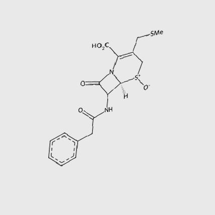 CSCC1=C(C(=O)O)N2C(=O)C(NC(=O)Cc3ccccc3)[C@@H]2[S+]([O-])C1